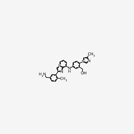 Cc1cn(-c2ccc(Nc3cccn4cc(-c5cc(CN)ccc5C)nc34)cc2CO)cn1